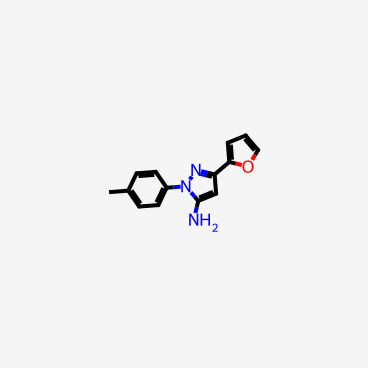 Cc1ccc(-n2nc(-c3ccco3)cc2N)cc1